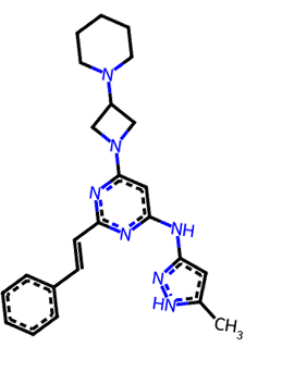 Cc1cc(Nc2cc(N3CC(N4CCCCC4)C3)nc(/C=C/c3ccccc3)n2)n[nH]1